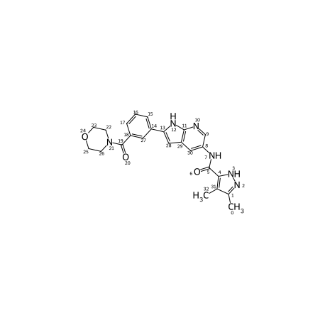 Cc1n[nH]c(C(=O)Nc2cnc3[nH]c(-c4cccc(C(=O)N5CCOCC5)c4)cc3c2)c1C